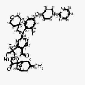 CC1CC2CC(C1)C(NC(=O)c1cnc(N3CC4(CCOCC4)c4cc(OC5CCN(c6ncccn6)CC5)cc(F)c43)nc1C(F)(F)F)(C(=O)O)C2